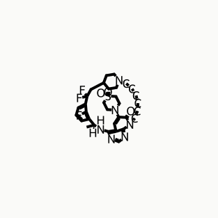 C[C@@H]1Nc2ncnc3c2cc(N2CCS(=O)(=O)CC2)c(=O)n3CCCCCCN2CCC(CC2)CC(F)(F)c2cccc1c2F